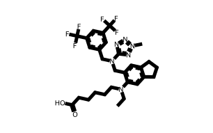 CCN(CCCCCC(=O)O)c1cc2c(cc1CN(Cc1cc(C(F)(F)F)cc(C(F)(F)F)c1)c1nnn(C)n1)CCC2